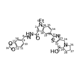 CCn1cc(C(=O)N/N=C/c2ccc3c(c2)OCO3)c2cc(-c3nc(CN4CCC[C@H]4CO)cs3)ccc21